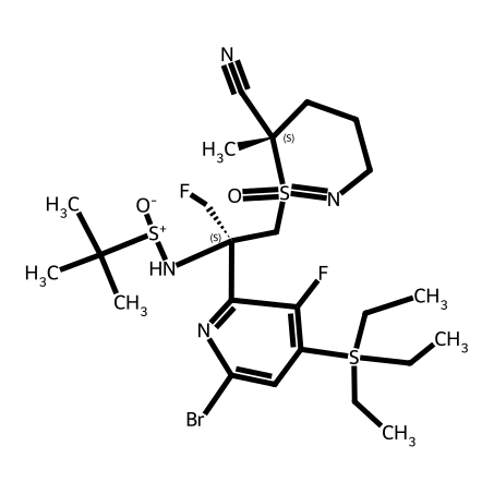 CCS(CC)(CC)c1cc(Br)nc([C@](CF)(CS2(=O)=NCCC[C@@]2(C)C#N)N[S+]([O-])C(C)(C)C)c1F